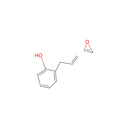 C1=CO1.C=CCc1ccccc1O